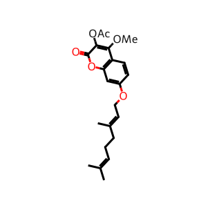 COc1c(OC(C)=O)c(=O)oc2cc(OC/C=C(\C)CCC=C(C)C)ccc12